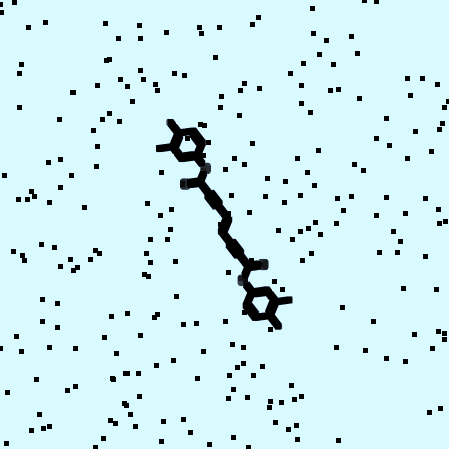 Cc1ccc(OC(=O)C#CC=CC#CC(=O)Oc2ccc(C)c(C)c2)cc1C